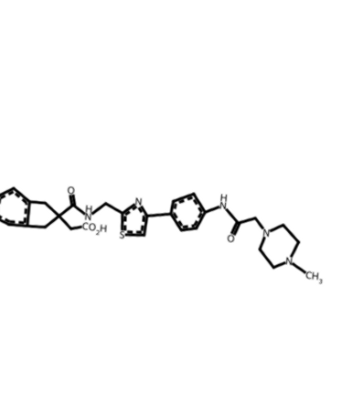 CN1CCN(CC(=O)Nc2ccc(-c3csc(CNC(=O)C4(CC(=O)O)Cc5ccccc5C4)n3)cc2)CC1